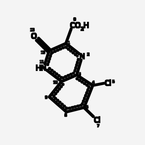 O=C(O)c1nc2c(Cl)c(Cl)ccc2[nH]c1=O